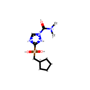 CCN(CC)C(=O)n1cnc(S(=O)(=O)CC2CCCC2)n1